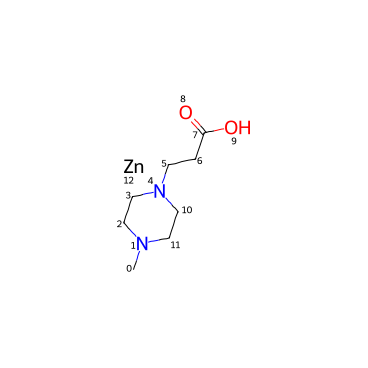 CN1CCN(CCC(=O)O)CC1.[Zn]